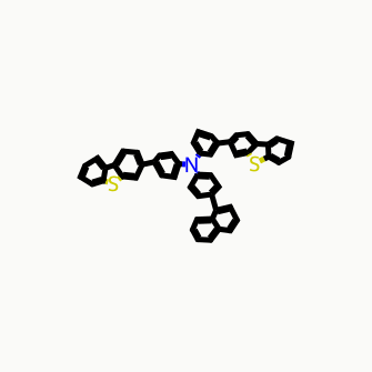 c1cc(-c2ccc3c(c2)sc2ccccc23)cc(N(c2ccc(-c3ccc4c(c3)sc3ccccc34)cc2)c2ccc(-c3cccc4ccccc34)cc2)c1